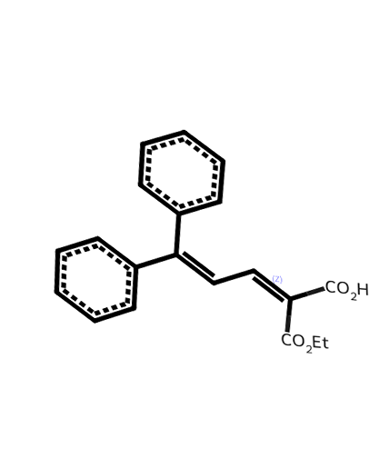 CCOC(=O)/C(=C\C=C(c1ccccc1)c1ccccc1)C(=O)O